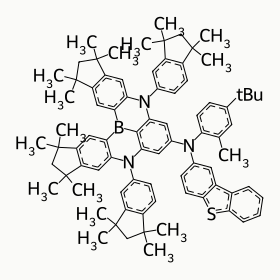 Cc1cc(C(C)(C)C)ccc1N(c1cc2c3c(c1)N(c1ccc4c(c1)C(C)(C)CC4(C)C)c1cc4c(cc1B3c1cc3c(cc1N2c1ccc2c(c1)C(C)(C)CC2(C)C)C(C)(C)CC3(C)C)C(C)(C)CC4(C)C)c1ccc2sc3ccccc3c2c1